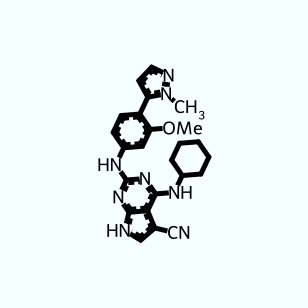 COc1cc(Nc2nc(NC3CCCCC3)c3c(C#N)c[nH]c3n2)ccc1-c1ccnn1C